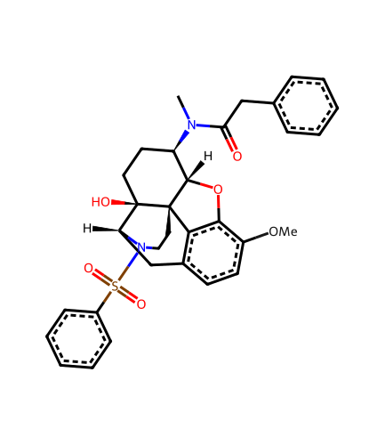 COc1ccc2c3c1O[C@H]1[C@H](N(C)C(=O)Cc4ccccc4)CC[C@@]4(O)[C@@H](C2)N(S(=O)(=O)c2ccccc2)CC[C@]314